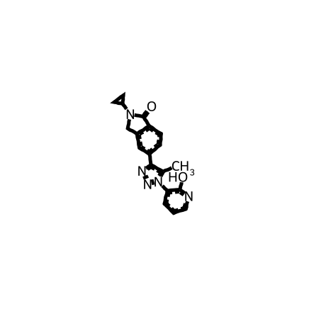 Cc1c(-c2ccc3c(c2)CN(C2CC2)C3=O)nnn1-c1cccnc1O